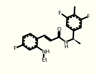 CCNc1cc(F)ccc1/C=C/C(=O)N[C@H](C)c1cc(F)c(C)c(F)c1